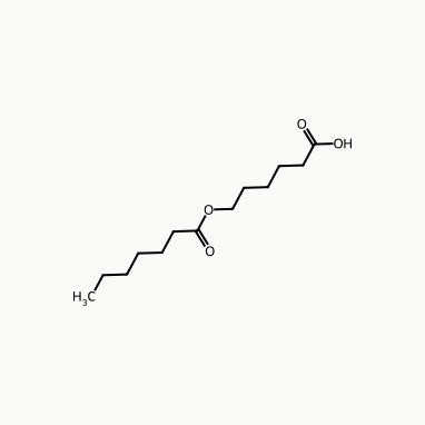 CCCCCCC(=O)OCCCCCC(=O)O